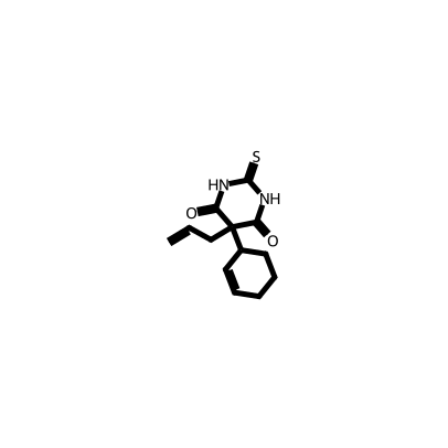 C=CCC1(C2C=CCCC2)C(=O)NC(=S)NC1=O